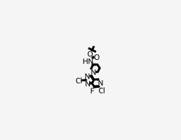 CC(C)(C)OC(=O)N[C@H]1CCCN(c2nc(Cl)nc3c(F)c(Cl)ncc23)C1